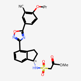 COC(=O)CS(=O)(=O)N[C@H]1CCc2c(-c3noc(-c4ccc(OC(C)C)c(C#N)c4)n3)cccc21